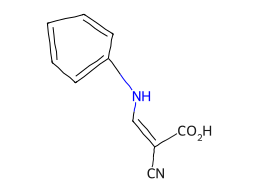 N#C/C(=C/Nc1ccccc1)C(=O)O